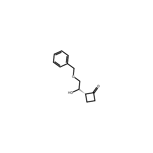 O=C1CC[C@@H]1C(O)COCc1ccccc1